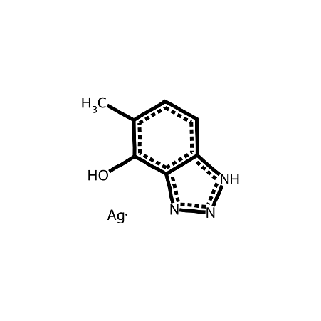 Cc1ccc2[nH]nnc2c1O.[Ag]